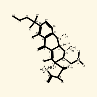 C=C1C2=C(C)[C@](O)(C(=C)C(C)C(=C)N)[C@H]([C@@H](C)N(C)C)[C@@H](O)[C@@H]2[C@@H](C)c2ccc(C(C)(C)CCC)c(C)c21